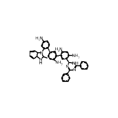 CC1NC2C=CC=CC2N1c1cc(N)ccc1-c1ccc(N)c(-c2cc(C3N=C(c4ccccc4)N=C(c4ccccc4)N3)c(N)cc2N)c1